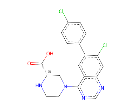 O=C(O)[C@@H]1CN(c2ncnc3cc(Cl)c(-c4ccc(Cl)cc4)cc23)CCN1